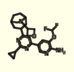 Nc1ncc(-c2cc(C3CC4CCC(C3)N(C3COC3)C4)nc(C3CC3)n2)cc1OC(F)F